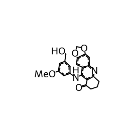 COc1cc(CO)cc(Nc2c3c(nc4cc5c(cc24)OCO5)CCCC3=O)c1